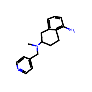 CN(Cc1ccncc1)C1CCc2c(N)cccc2C1